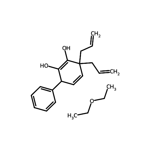 C=CCC1(CC=C)C=CC(c2ccccc2)C(O)=C1O.CCOCC